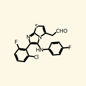 O=CCc1csc2nc(-c3c(F)cccc3Cl)c(Nc3ccc(F)cc3)n12